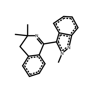 Cn1nc2ccccc2c1C1=NC(C)(C)Cc2ccccc21